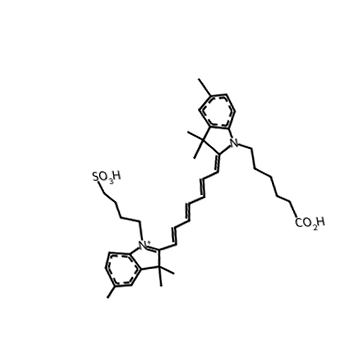 Cc1ccc2c(c1)C(C)(C)C(/C=C/C=C/C=C/C=C1/N(CCCCCC(=O)O)c3ccc(C)cc3C1(C)C)=[N+]2CCCCS(=O)(=O)O